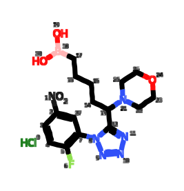 Cl.O=[N+]([O-])c1ccc(F)c(-n2nnnc2C(CCCCB(O)O)N2CCOCC2)c1